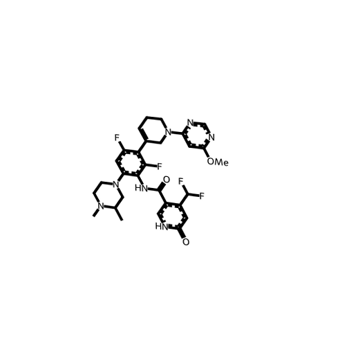 COc1cc(N2CCC=C(c3c(F)cc(N4CCN(C)C(C)C4)c(NC(=O)c4c[nH]c(=O)cc4C(F)F)c3F)C2)ncn1